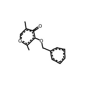 Cc1occ(C)c(=O)c1OCc1ccccc1